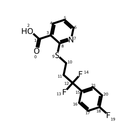 O=C(O)c1cccnc1SCCC(F)(F)c1ccc(F)cc1